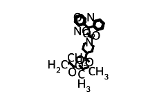 C=C(C)C(=O)OC(C)C(C)OC(=O)C1CCN(C(=O)OC(c2ccccc2[N+](=O)[O-])c2ccccc2[N+](=O)[O-])CC1